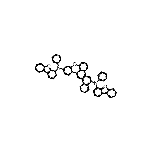 c1ccc(N(c2ccc3c(c2)Oc2cccc4c2c-3cc2c3ccccc3c(N(c3ccccc3)c3cccc5c3oc3ccccc35)cc42)c2cccc3c2oc2ccccc23)cc1